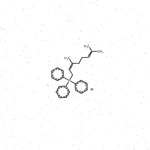 CC(C)=CCCC(C)=CC[P+](c1ccccc1)(c1ccccc1)c1ccccc1.[Br-]